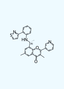 Cc1cc([C@@H](C)Nc2ccccc2-c2ccsn2)c2oc(-c3cccnc3)c(C)c(=O)c2c1